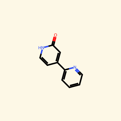 O=c1cc(-c2ccccn2)cc[nH]1